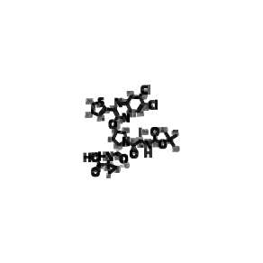 C[C@@H]1C[C@]1(NC(=O)[C@@H]1CC(Oc2nc3cc(Cl)c(Cl)cc3nc2-c2cccs2)CN1C(=O)[C@H](I)NC(=O)OC(C)(C)C)C(=O)O